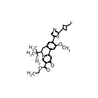 CCOC(=O)c1cn2c(cc1=O)-c1cc(OC)c(-c3cnc(C4CC(F)C4)s3)cc1CC2C(C)(C)C